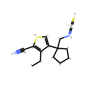 CCc1c(C2(CN=C=S)CCCC2)csc1C#N